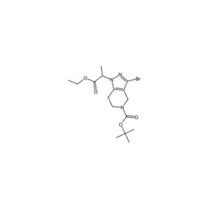 CCOC(=O)C(C)n1nc(Br)c2c1CCN(C(=O)OC(C)(C)C)C2